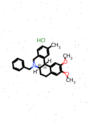 COc1cc2c(cc1OC)[C@H]1c3cc(C)ccc3CN(Cc3ccccc3)[C@@H]1CC2.Cl